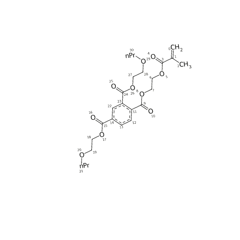 C=C(C)C(=O)OCCOC(=O)c1ccc(C(=O)OCCOCCC)cc1C(=O)OCCOCCC